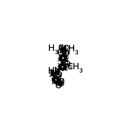 COc1ccc(NC(=O)C2(c3ccc4c(c3)OCO4)CC2)cc1-c1ccc(S(=O)(=O)N(C)C)cc1